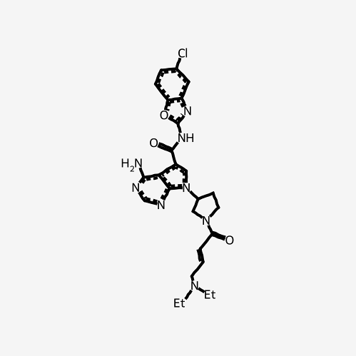 CCN(CC)CC=CC(=O)N1CCC(n2cc(C(=O)Nc3nc4cc(Cl)ccc4o3)c3c(N)ncnc32)C1